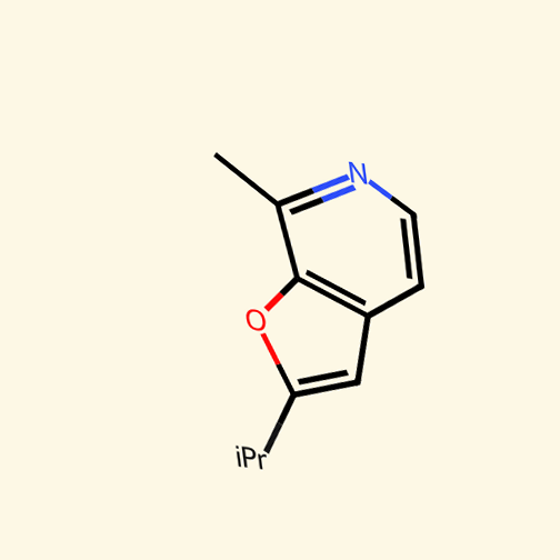 Cc1nccc2cc(C(C)C)oc12